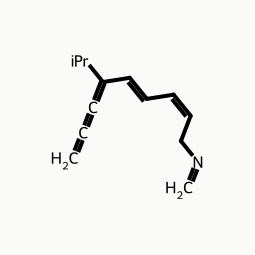 C=C=C=C(/C=C/C=C\CN=C)C(C)C